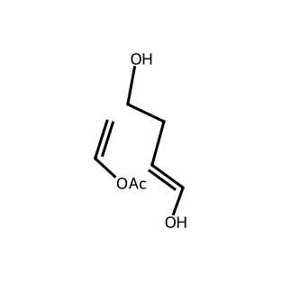 C=COC(C)=O.OC=CCCO